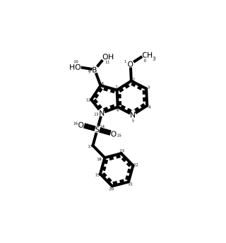 COc1ccnc2c1c(B(O)O)cn2S(=O)(=O)Cc1ccccc1